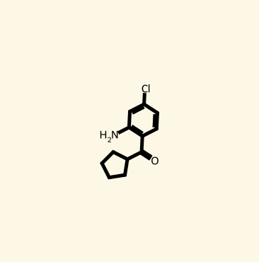 Nc1cc(Cl)ccc1C(=O)C1CCCC1